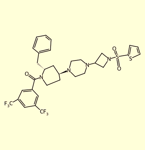 O=C(c1cc(C(F)(F)F)cc(C(F)(F)F)c1)N1CC[C@H](N2CCN(C3CN(S(=O)(=O)c4cccs4)C3)CC2)C[C@H]1Cc1ccccc1